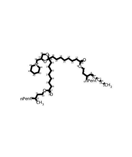 C=C=C=C=CC(CCCCC)CCOC(=O)CCCCCCCC1(CCCCCCCC(=O)OCCC(C)CCCCC)OCC(CN2CCCCC2)O1